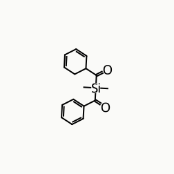 C[Si](C)(C(=O)c1ccccc1)C(=O)C1C=CC=CC1